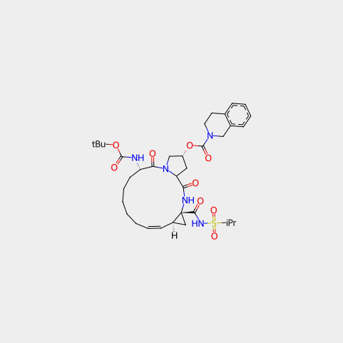 CC(C)S(=O)(=O)NC(=O)[C@@]12C[C@H]1/C=C\CCCCC[C@H](NC(=O)OC(C)(C)C)C(=O)N1C[C@H](OC(=O)N3CCc4ccccc4C3)CC1C(=O)N2